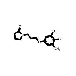 Cc1cc(OCCCN2CCCC2=O)cc(C)c1Br